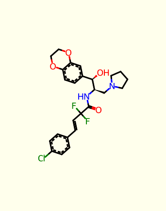 O=C(N[C@H](CN1CCCC1)[C@H](O)c1ccc2c(c1)OCCO2)C(F)(F)/C=C/c1ccc(Cl)cc1